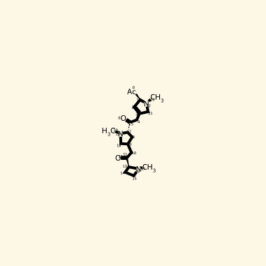 CC(=O)[C@@H]1C=C(CC(=O)[C@@H]2CC(CC(=O)[C@@H]3CCN3C)CN2C)CN1C